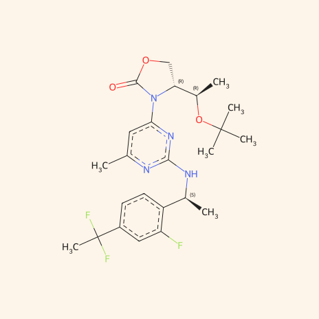 Cc1cc(N2C(=O)OC[C@@H]2[C@@H](C)OC(C)(C)C)nc(N[C@@H](C)c2ccc(C(C)(F)F)cc2F)n1